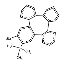 CC(C)(C)c1cc2c(cc1[Si](C)(C)C)-c1ccccc1-c1ccccc1-c1ccccc1-2